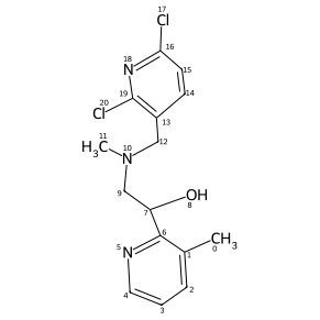 Cc1cccnc1C(O)CN(C)Cc1ccc(Cl)nc1Cl